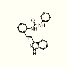 O=C(Nc1ccccc1)Nc1ccccc1/C=C/c1n[nH]c2ccccc12